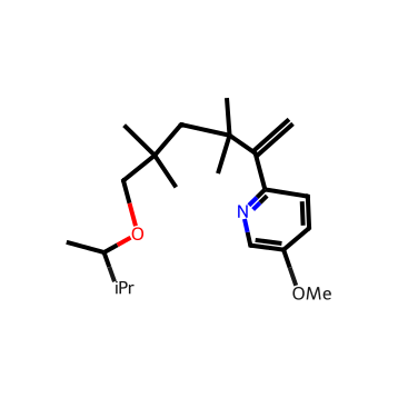 C=C(c1ccc(OC)cn1)C(C)(C)CC(C)(C)COC(C)C(C)C